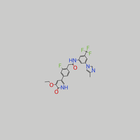 CCOc1cc(-c2ccc(CC(=O)Nc3cc(-n4cnc(C)c4)cc(C(F)(F)F)c3)c(F)c2)c[nH]c1=O